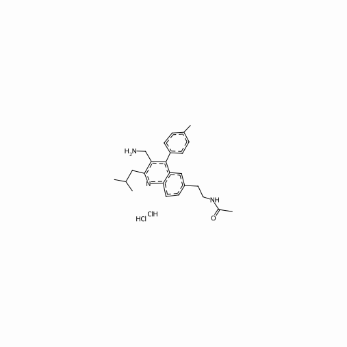 CC(=O)NCCc1ccc2nc(CC(C)C)c(CN)c(-c3ccc(C)cc3)c2c1.Cl.Cl